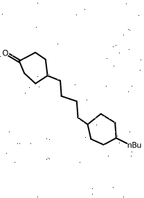 CCCCC1CCC(CCCCC2CCC(=O)CC2)CC1